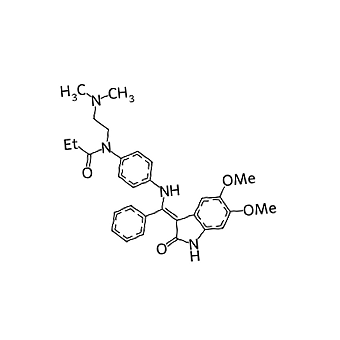 CCC(=O)N(CCN(C)C)c1ccc(NC(=C2C(=O)Nc3cc(OC)c(OC)cc32)c2ccccc2)cc1